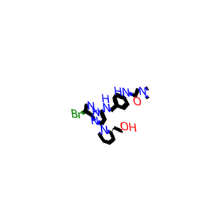 CN(C)CC(=O)Nc1ccc(CNc2cc(N3CCCC[C@H]3CCO)nc3c(Br)cnn23)cc1